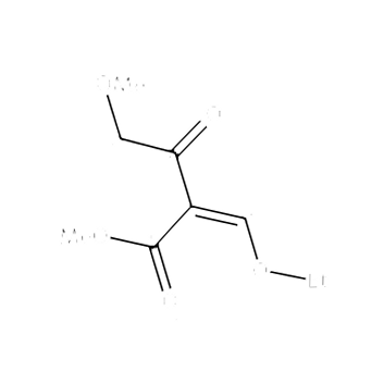 CCOC=C(C(=O)COC)C(=O)OC